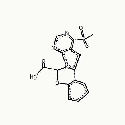 CS(=O)(=O)c1ncnc2c1cc1n2C(C(=O)O)Oc2ccccc2-1